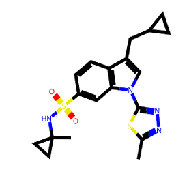 Cc1nnc(-n2cc(CC3CC3)c3ccc(S(=O)(=O)NC4(C)CC4)cc32)s1